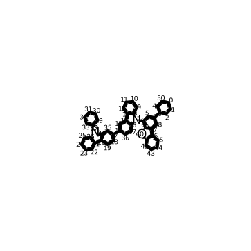 c1ccc(-c2cc(-n3c4ccccc4c4cc(-c5ccc6c7ccccc7n(-c7ccccc7)c6c5)ccc43)c3oc4ccccc4c3c2)cc1